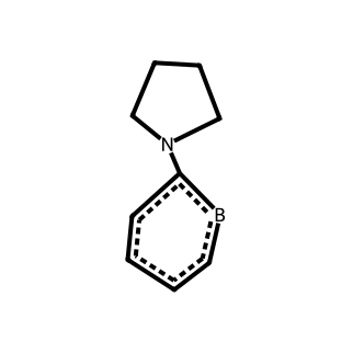 b1ccccc1N1CCCC1